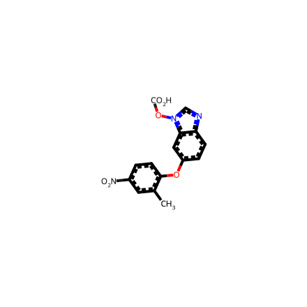 Cc1cc([N+](=O)[O-])ccc1Oc1ccc2ncn(OC(=O)O)c2c1